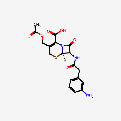 CC(=O)OCC1=C(C(=O)O)N2C(=O)[C@@H](NC(=O)Cc3cccc(N)c3)[C@H]2SC1